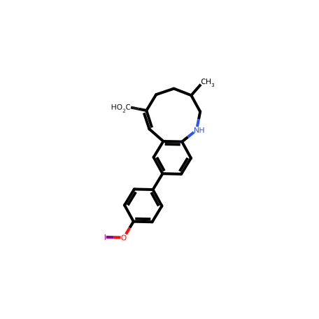 CC1CC/C(C(=O)O)=C\c2cc(-c3ccc(OI)cc3)ccc2NC1